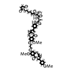 COc1ccc(C2=CN3C(=O)c4cc(OC)c(OCCCOc5cc6c(cc5OC)C(=O)N5C=C(c7ccc(NC(=O)[C@H](C)NC(=O)[C@@H](NC(=O)CCCCCN8C(=O)C=CC8=O)C(C)C)cc7)C[C@H]5C=N6)cc4N=C[C@@H]3C2)cc1